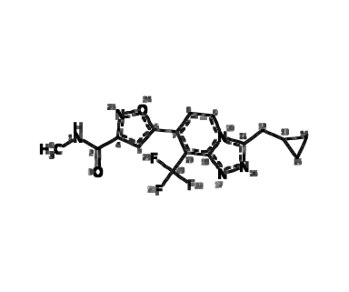 CNC(=O)c1cc(-c2ccn3c(CC4CC4)nnc3c2C(F)(F)F)on1